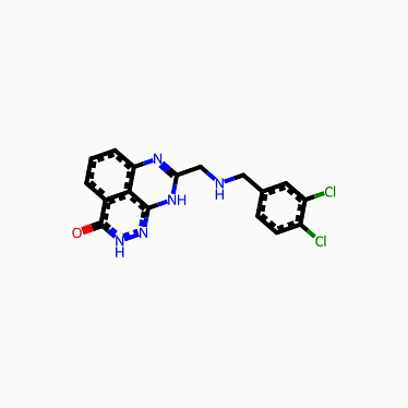 O=c1[nH]nc2c3c(cccc13)N=C(CNCc1ccc(Cl)c(Cl)c1)N2